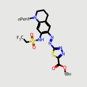 CCCCCN1CCCc2cc(N=Nc3nnc(C(=O)OC(C)(C)C)s3)c(NS(=O)(=O)CC(F)(F)F)cc21